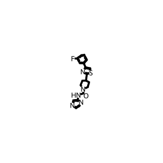 O=C(Nc1cnccn1)N1CCC(c2nc(-c3cccc(F)c3)cs2)CC1